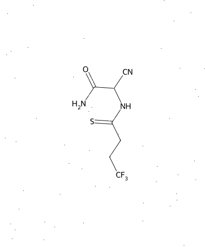 N#CC(NC(=S)CCC(F)(F)F)C(N)=O